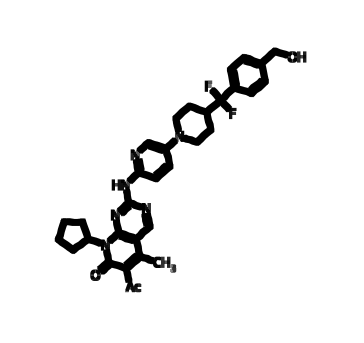 CC(=O)c1c(C)c2cnc(Nc3ccc(N4CCC(C(F)(F)c5ccc(CO)cc5)CC4)cn3)nc2n(C2CCCC2)c1=O